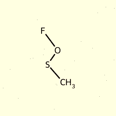 CSOF